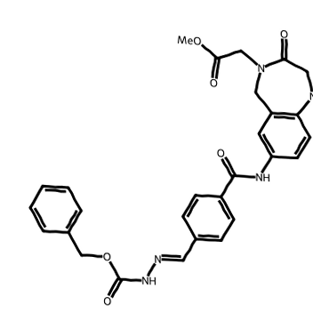 COC(=O)CN1Cc2cc(NC(=O)c3ccc(C=NNC(=O)OCc4ccccc4)cc3)ccc2NCC1=O